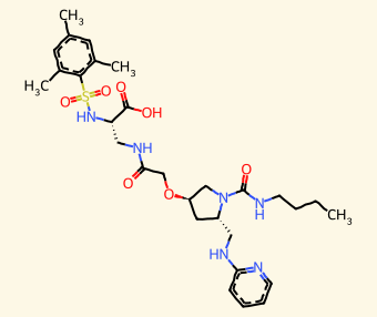 CCCCNC(=O)N1C[C@H](OCC(=O)NC[C@H](NS(=O)(=O)c2c(C)cc(C)cc2C)C(=O)O)C[C@H]1CNc1ccccn1